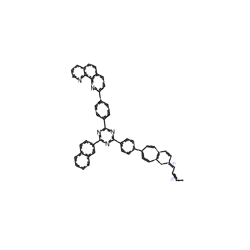 C/C=C\C=C1\C=CC2=C(C=C=C(c3ccc(-c4nc(-c5ccc(-c6ccc7ccc8cccnc8c7n6)cc5)nc(-c5ccc6ccccc6c5)n4)cc3)C=C2)C1